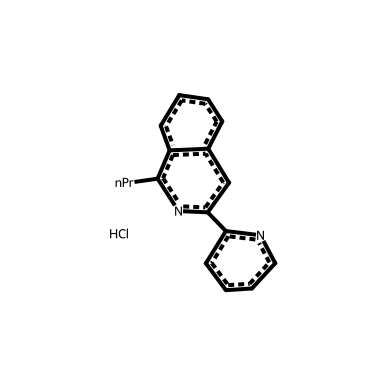 CCCc1nc(-c2ccccn2)cc2ccccc12.Cl